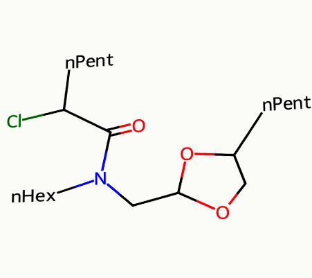 CCCCCCN(CC1OCC(CCCCC)O1)C(=O)C(Cl)CCCCC